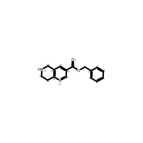 O=C(OCc1ccccc1)c1cnc2c(c1)CNCC2